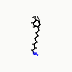 Cc1ccc(CCCCCCCCN)cc1